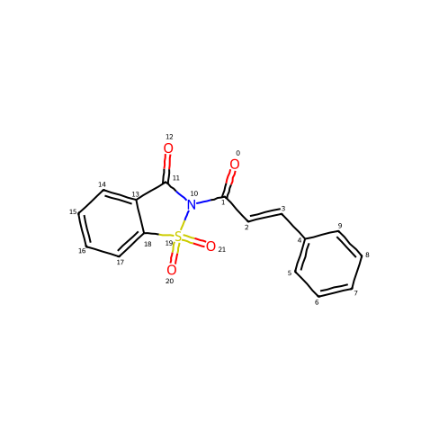 O=C(C=Cc1ccccc1)N1C(=O)c2ccccc2S1(=O)=O